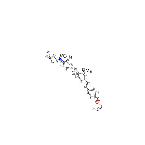 COc1cc(/C=C/c2ccc(SOOC(F)(F)F)cc2)ccc1/C=C/c1ccc(N(CC[Si](C)(C)C)C(=O)O)cc1